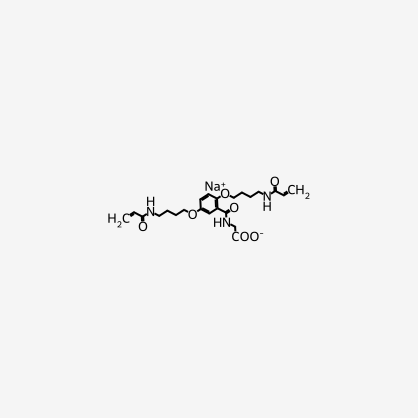 C=CC(=O)NCCCCOc1ccc(OCCCCNC(=O)C=C)c(C(=O)NCC(=O)[O-])c1.[Na+]